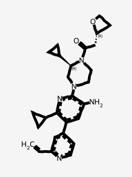 C=Cc1cc(-c2cc(N)c(N3CCN(C(=O)C[C@H]4CCO4)[C@H](C4CC4)C3)nc2C2CC2)ccn1